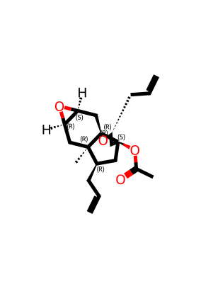 C=CC[C@@H]1C[C@@]2(OC(C)=O)C[C@@H](CC=C)[C@@]3(C)C[C@H]4O[C@H]4C[C@]23O1